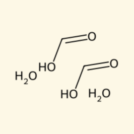 O.O.O=CO.O=CO